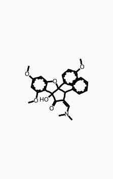 COc1ccc(C23Oc4cc(OC)cc(OC)c4C2(O)C(=O)C(=CN(C)C)C3c2ccccc2)cc1